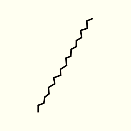 CCCCCCCC[CH]CCCCCCCCCCCC